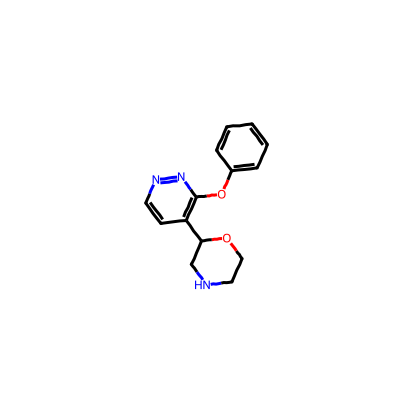 c1ccc(Oc2nnccc2C2CNCCO2)cc1